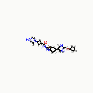 CC1CNCCN1C1CC(C(=O)Nc2nc3ccc(-c4cnc(COC5CCCC5)nc4)cc3s2)C1